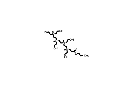 CCCCCCCCCCCCOC(=O)CC[N+](C)(CCO)CC[N+](C)(CCO)CC[N+](C)(CCO)CC[N+](C)(CCO)CCO